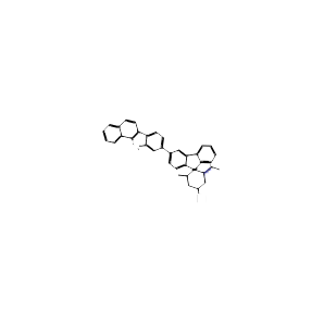 C/C=C1\CC(CC)CC(C)C12c1ccccc1-c1cc(-c3ccc4c(c3)[nH]c3c5ccccc5ccc43)ccc12